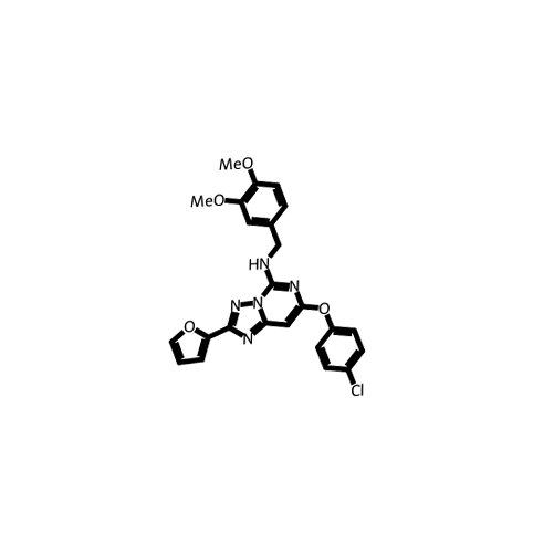 COc1ccc(CNc2nc(Oc3ccc(Cl)cc3)cc3nc(-c4ccco4)nn23)cc1OC